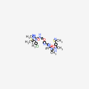 Cc1ncsc1-c1ccc([C@H](C)NC(=O)[C@@H]2C[C@@H](C)CN2C(=O)[C@H](C(C)C)n2cc(-c3cc(O[C@H]4C[C@@H](NC(=O)C[C@@H]5N=C(c6ccc(Cl)cc6)c6c(sc(C)c6C)-n6c(C)nnc65)C4)ccn3)cn2)cc1